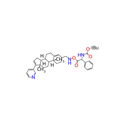 CC(C)(C)OC(=O)NC(C(=O)ONCC1C=C2CC[C@H]3[C@H](CC[C@]4(C)C(c5cccnc5)=CC[C@@H]34)[C@@]2(C)CC1)c1ccccc1